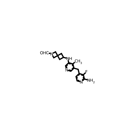 Cc1c(Cc2ccnc(N)c2F)cncc1NC1CC2(C1)CN(C=O)C2